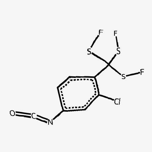 O=C=Nc1ccc(C(SF)(SF)SF)c(Cl)c1